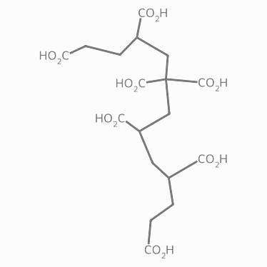 O=C(O)CCC(CC(CC(CC(CCC(=O)O)C(=O)O)(C(=O)O)C(=O)O)C(=O)O)C(=O)O